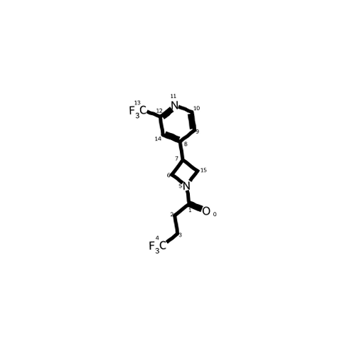 O=C(CCC(F)(F)F)N1CC(c2ccnc(C(F)(F)F)c2)C1